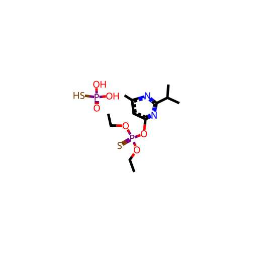 CCOP(=S)(OCC)Oc1cc(C)nc(C(C)C)n1.O=P(O)(O)S